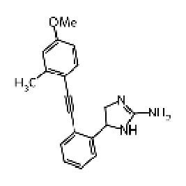 COc1ccc(C#Cc2ccccc2C2CN=C(N)N2)c(C)c1